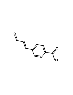 NC(=O)c1ccc(C=CC=O)cc1